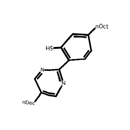 CCCCCCCCCCc1cnc(-c2ccc(CCCCCCCC)cc2S)nc1